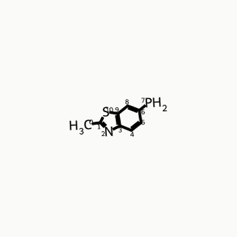 Cc1nc2ccc(P)cc2s1